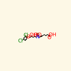 CS(=O)(=O)N(CC#CCCCC(=O)O)CCCC(O)COc1ccc(Cl)cc1Cl